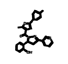 Cc1ccc(-c2cc(C(=O)N3N=C(c4cccnc4)CC3c3ccccc3O)c(C)o2)cc1